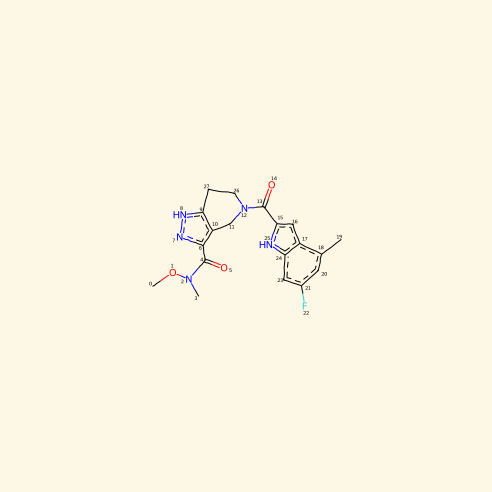 CON(C)C(=O)c1n[nH]c2c1CN(C(=O)c1cc3c(C)cc(F)cc3[nH]1)CC2